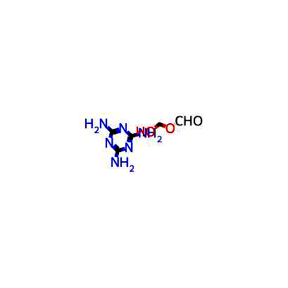 Nc1nc(N)nc(N)n1.O=COCO